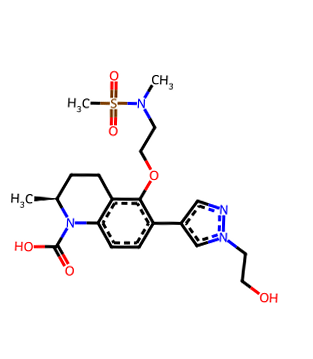 C[C@H]1CCc2c(ccc(-c3cnn(CCO)c3)c2OCCN(C)S(C)(=O)=O)N1C(=O)O